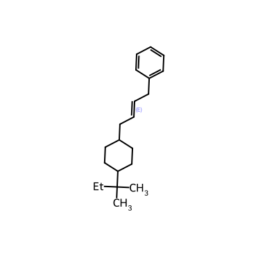 CCC(C)(C)C1CCC(C/C=C/Cc2ccccc2)CC1